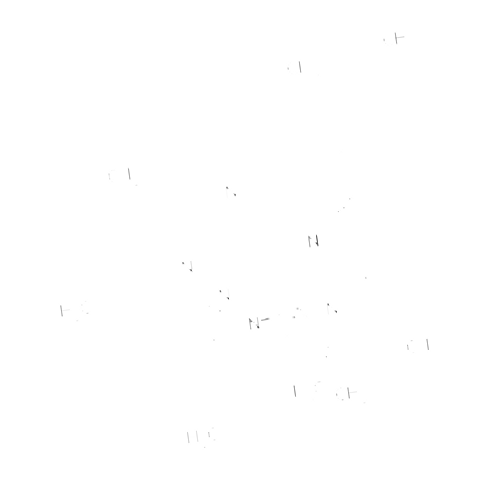 C=C/C=C1\C(=C/C)c2nc3c(C=C)c(C=C)c4nc5c6c(nc7c(C=C)c(C=C)c(nc1c26)n7n43)C(C)=C5C